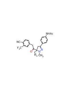 CC(=O)Nc1ccc(C2=NN(C)C(C)(C(=O)Cc3ccc(C#N)c(C(F)(F)F)c3)C2)cc1